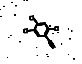 [C]#Cc1cc(Cl)c(Cl)cc1Cl